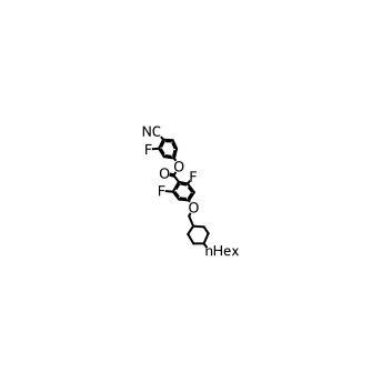 CCCCCCC1CCC(COc2cc(F)c(C(=O)Oc3ccc(C#N)c(F)c3)c(F)c2)CC1